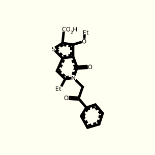 CCOc1c(C(=O)O)sc2cc(CC)n(CC(=O)c3ccccc3)c(=O)c12